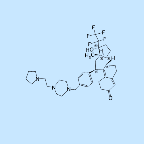 C[C@]12C[C@H](c3ccc(CN4CCN(CCN5CCCC5)CC4)cc3)C3=C4CCC(=O)C=C4CC[C@H]3[C@@H]1CC[C@]2(O)C(F)(F)C(F)(F)F